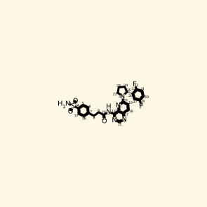 NS(=O)(=O)c1ccc(CCC(=O)Nc2ncnc3ccc(N4CCC[C@@H]4c4cc(F)ccc4F)nc23)cc1